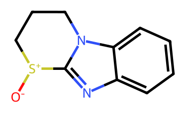 [O-][S+]1CCCn2c1nc1ccccc12